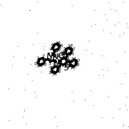 c1ccc(-c2cc(-n3c4ccccc4c4c5sc6ccccc6c5c5c6ccccc6oc5c43)nc(-c3ccccc3)n2)cc1